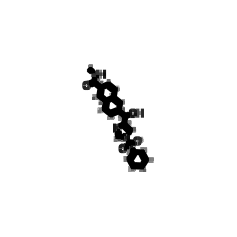 CNC(=O)c1ccc2cc(C(O)c3cn(S(=O)(=O)c4ccccc4)cn3)ccc2c1